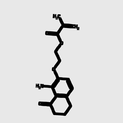 C=C(C)C(=O)OCCOc1ccc2c(c1N)C(=O)CCC2